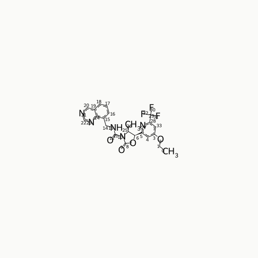 CCOc1cc([C@H]2OC(=O)N(C(=O)NCc3cccc4cncnc34)[C@H]2C)nc(C(F)(F)F)c1